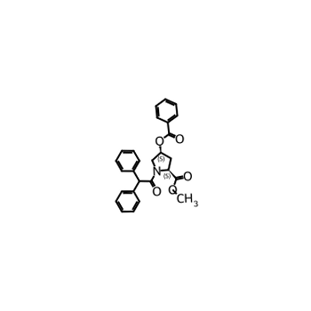 COC(=O)[C@@H]1C[C@H](OC(=O)c2ccccc2)CN1C(=O)C(c1ccccc1)c1ccccc1